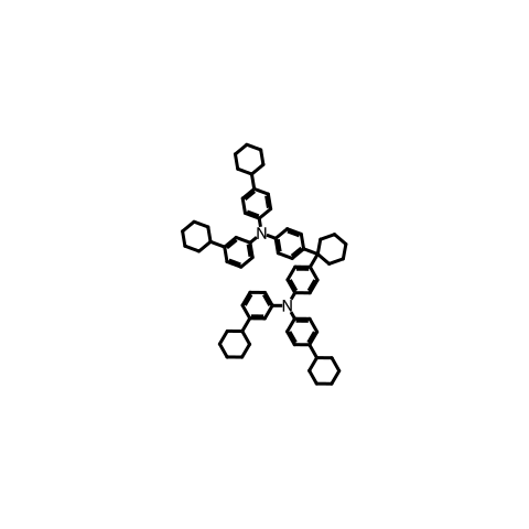 c1cc(C2CCCCC2)cc(N(c2ccc(C3CCCCC3)cc2)c2ccc(C3(c4ccc(N(c5ccc(C6CCCCC6)cc5)c5cccc(C6CCCCC6)c5)cc4)CCCCC3)cc2)c1